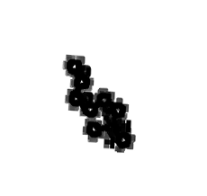 NC(NC(NCc1cccc2c1SC1C(c3cccc4c3oc3c(-c5ccc6oc7ccccc7c6c5)cccc34)=CC=CC21)c1ccccc1)c1ccccc1